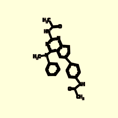 CC(=O)Nc1ccc(-c2ccc3nc(NC(C)=O)nc(N(C)c4ccccc4)c3c2)cc1